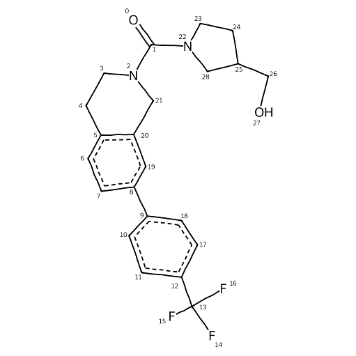 O=C(N1CCc2ccc(-c3ccc(C(F)(F)F)cc3)cc2C1)N1CCC(CO)C1